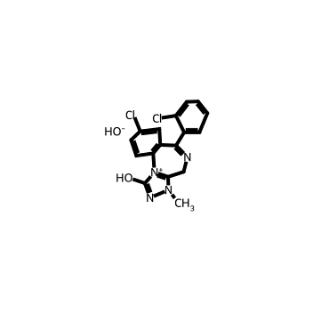 Cn1nc(O)[n+]2c1CN=C(c1ccccc1Cl)c1cc(Cl)ccc1-2.[OH-]